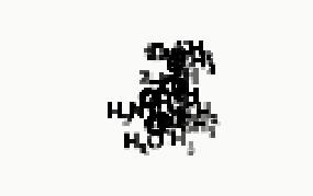 [2H]C1C([2H])C2(CO[Si](C)(C)C(C)(C)C)OC1(CO[Si](C)(C)C(C)(C)C)CC([2H])(c1ccc(N)c(C3=CCC(C)(C)CC3)c1)C2[2H]